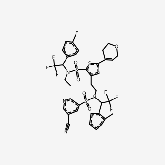 CCN(C(c1ccc(F)cc1)C(F)(F)F)S(=O)(=O)c1sc(C2=CCOCC2)cc1CCN(C(c1ccccc1C)C(F)(F)F)S(=O)(=O)c1cncc(C#N)c1